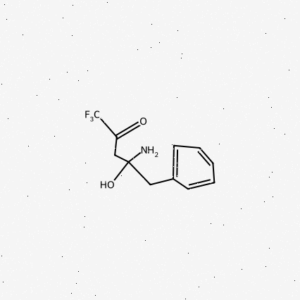 NC(O)(CC(=O)C(F)(F)F)Cc1ccccc1